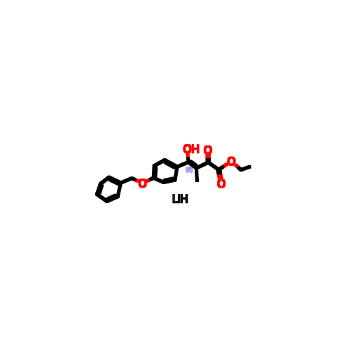 CCOC(=O)C(=O)/C(C)=C(\O)c1ccc(OCc2ccccc2)cc1.[LiH]